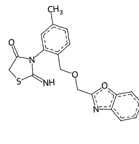 Cc1ccc(COCc2nc3ccccc3o2)c(N2C(=N)SCC2=O)c1